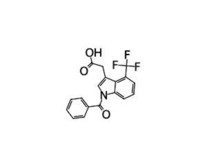 O=C(O)Cc1cn(C(=O)c2ccccc2)c2cccc(C(F)(F)F)c12